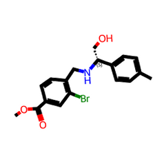 COC(=O)c1ccc(CN[C@H](CO)c2ccc(C)cc2)c(Br)c1